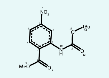 COC(=O)c1ccc([N+](=O)[O-])cc1NC(=O)OC(C)(C)C